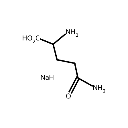 NC(=O)CCC(N)C(=O)O.[NaH]